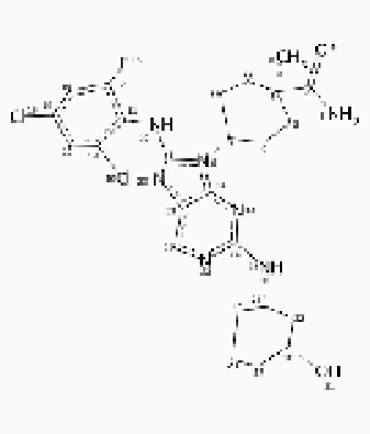 C[C@]1(C(N)=O)CC[C@H](n2c(Nc3c(F)cc(Cl)cc3Cl)nc3cnc(N[C@H]4CCC[C@@H](O)C4)nc32)CC1